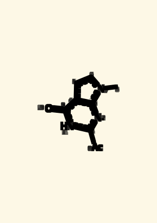 CC(=O)c1nc2c(ccn2C)c(=O)[nH]1